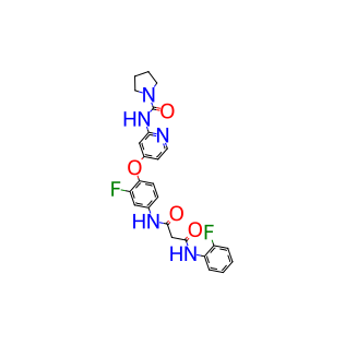 O=C(CC(=O)Nc1ccccc1F)Nc1ccc(Oc2ccnc(NC(=O)N3CCCC3)c2)c(F)c1